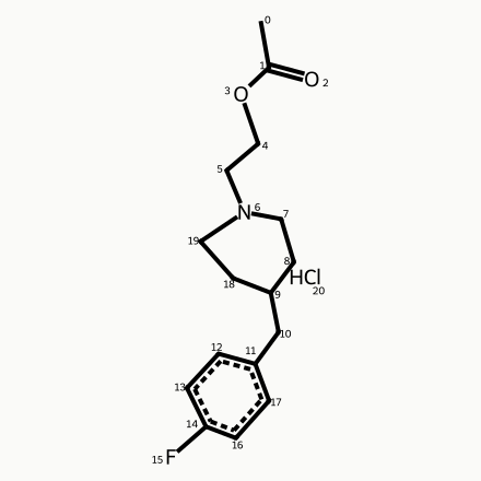 CC(=O)OCCN1CCC(Cc2ccc(F)cc2)CC1.Cl